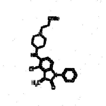 C=C1C(=O)N(c2ccccc2)c2ccc(NC3CCN(CCOC)CC3)c(Cl)c21